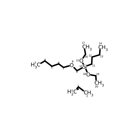 C=CC.CCCCCOC[Si](CCCC)(OCC)OCC